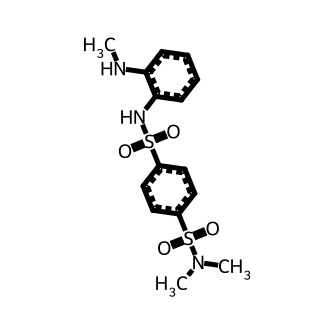 CNc1ccccc1NS(=O)(=O)c1ccc(S(=O)(=O)N(C)C)cc1